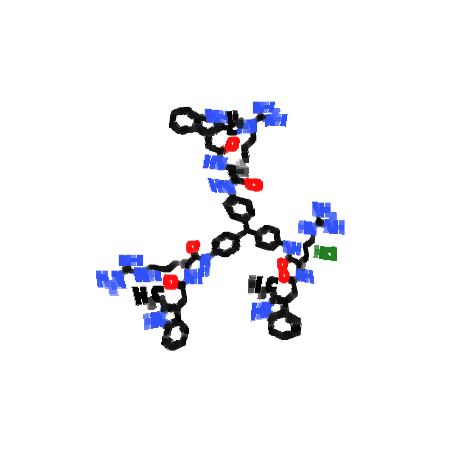 Cc1[nH]c2ccccc2c1CC(=O)N[C@H](CCCNC(=N)N)C(=O)Nc1ccc(C(c2ccc(NC(=O)[C@@H](CCCNC(=N)N)NC(=O)Cc3c(C)[nH]c4ccccc34)cc2)c2ccc(NC(=O)[C@@H](CCCNC(=N)N)NC(=O)Cc3c(C)[nH]c4ccccc34)cc2)cc1.Cl